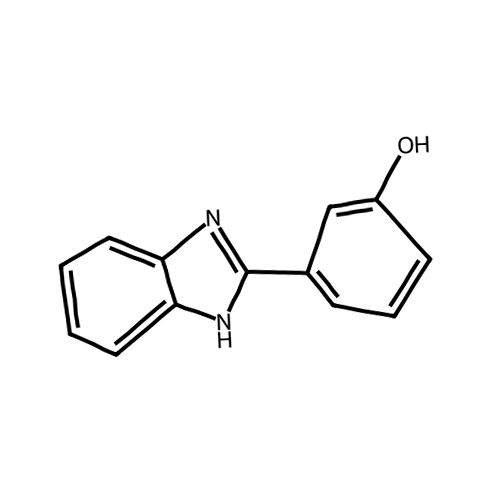 Oc1cccc(-c2nc3ccccc3[nH]2)c1